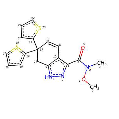 CON(C)C(=O)c1n[nH]c2c1C=CC(c1cccs1)(c1cccs1)C2